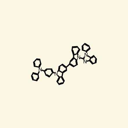 c1ccc(N(c2ccccc2)c2ccc(-n3c4ccccc4c4cc(-c5ccc6c(c5)c5ccccc5n6-c5nc6ccccc6n5-c5ccccc5)ccc43)cc2)cc1